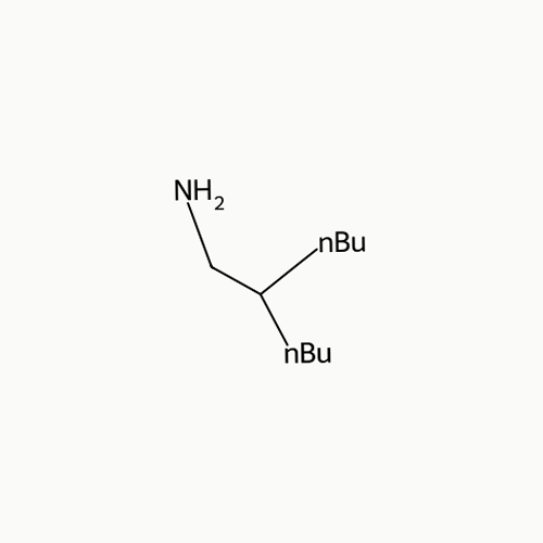 CCCCC(CN)CCCC